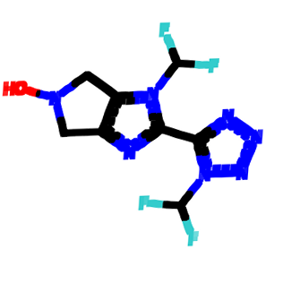 ON1Cc2nc(-c3nnnn3C(F)F)n(C(F)F)c2C1